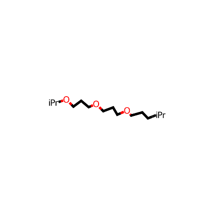 CC(C)CCCOCCCOCCCOC(C)C